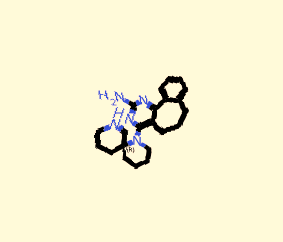 Nc1nc2c(c(N3CCCC[C@]34CCCNC4)n1)CCCc1ccccc1-2